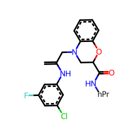 C=C(CN1CC(C(=O)NCCC)Oc2ccccc21)Nc1cc(F)cc(Cl)c1